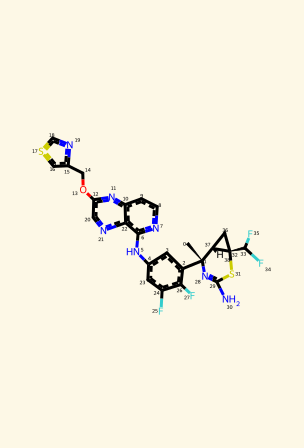 C[C@]1(c2cc(Nc3nccc4nc(OCc5cscn5)cnc34)cc(F)c2F)N=C(N)S[C@@]2(C(F)F)C[C@@H]12